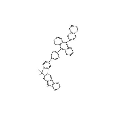 CC1(C)c2ccc(-c3ccc(-c4c5ccccc5c(-c5ccc6ccccc6c5)c5ccccc45)cc3)cc2-c2cc3c(cc21)oc1ccccc13